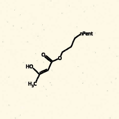 CCCCCCCCOC(=O)/C=C(/C)O